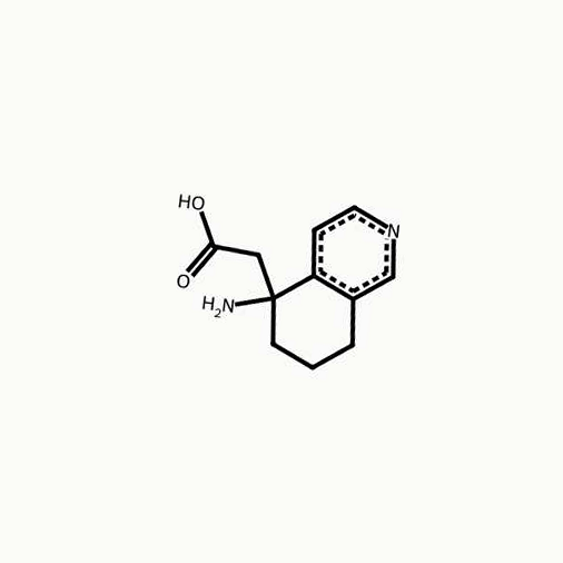 NC1(CC(=O)O)CCCc2cnccc21